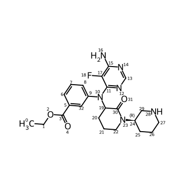 CCOC(=O)c1cccc(N(c2ncnc(N)c2F)C2CCCN([C@@H]3CCCNC3)C2=O)c1